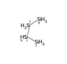 C[SiH]([SiH3])[SiH2][SiH3]